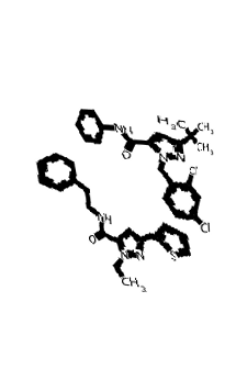 CC(C)(C)c1cc(C(=O)Nc2ccccc2)n(Cc2ccc(Cl)cc2Cl)n1.CCn1nc(-c2cccs2)cc1C(=O)NCCc1ccccc1